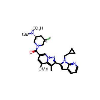 COc1cc(C(=O)N2C[C@H](F)C[C@@H](N(C(=O)O)C(C)(C)C)C2)cn2nc(-c3cc4cccnc4n3CC3CC3)c(C)c12